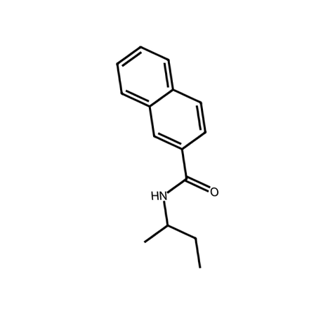 CCC(C)NC(=O)c1ccc2ccccc2c1